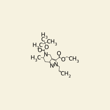 C=CCn1nc2c(c1C(=O)OCC)CN(C(=O)OC(C)(C)C)C(C)C2